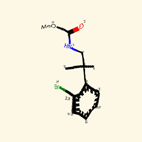 COC(=O)NCC(C)(C)c1ccccc1Br